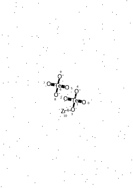 O=[Te](=O)([O-])[O-].O=[Te](=O)([O-])[O-].[Zr+4]